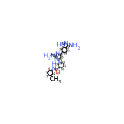 Cc1cccc(NC(=O)C2CCCN(c3cc(-c4ccc5c(N)n[nH]c5c4)nc(N)n3)C2)c1